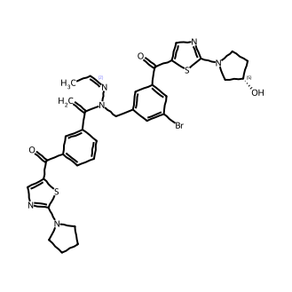 C=C(c1cccc(C(=O)c2cnc(N3CCCC3)s2)c1)N(Cc1cc(Br)cc(C(=O)c2cnc(N3CC[C@H](O)C3)s2)c1)/N=C\C